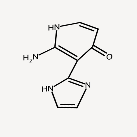 Nc1[nH]ccc(=O)c1-c1ncc[nH]1